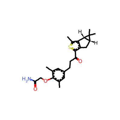 Cc1cc(CCC(=O)c2sc(C)c3c2C[C@@H]2[C@H]3C2(C)C)cc(C)c1OCC(N)=O